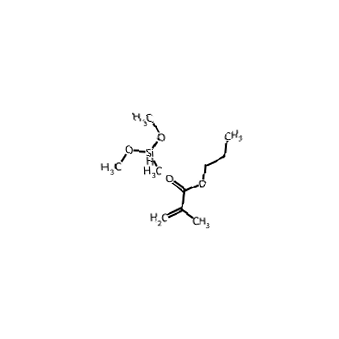 C=C(C)C(=O)OCCC.CO[SiH](C)OC